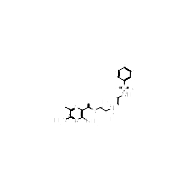 C[N+](C)(CCNC(=O)c1nc(Cl)c(N)nc1N)CCNS(=O)(=O)c1ccccc1.[Br-]